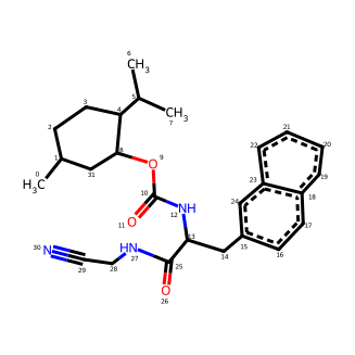 CC1CCC(C(C)C)C(OC(=O)NC(Cc2ccc3ccccc3c2)C(=O)NCC#N)C1